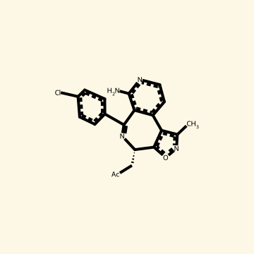 CC(=O)C[C@@H]1N=C(c2ccc(Cl)cc2)c2c(ccnc2N)-c2c(C)noc21